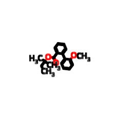 CCC(C)(C)OC(=O)c1ccccc1-c1ccccc1OC